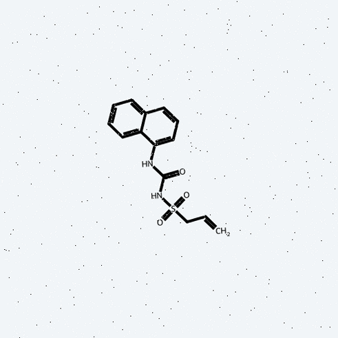 C=CCS(=O)(=O)NC(=O)Nc1cccc2ccccc12